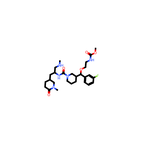 CNCC(CC1CCC(=O)N(C)C1)NC(=O)N1CCCC(C(OCCNC(=O)OC)c2cccc(F)c2)C1